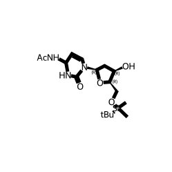 CC(=O)NC1C=CN([C@H]2C[C@@H](O)[C@@H](CO[Si](C)(C)C(C)(C)C)O2)C(=O)N1